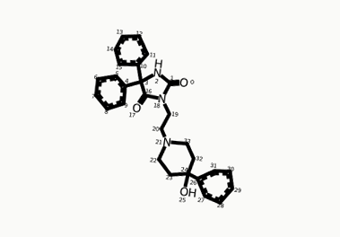 O=C1NC(c2ccccc2)(c2ccccc2)C(=O)N1CCN1CCC(O)(c2ccccc2)CC1